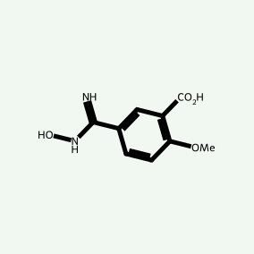 COc1ccc(C(=N)NO)cc1C(=O)O